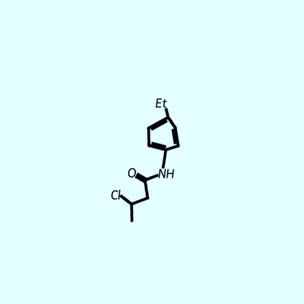 CCc1ccc(NC(=O)CC(C)Cl)cc1